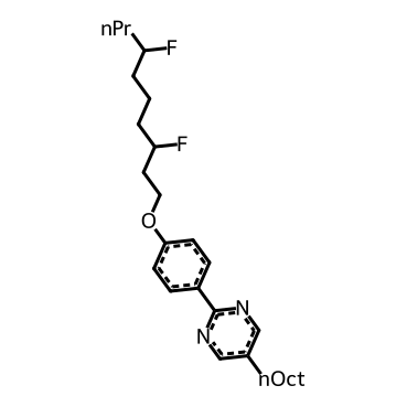 CCCCCCCCc1cnc(-c2ccc(OCCC(F)CCCC(F)CCC)cc2)nc1